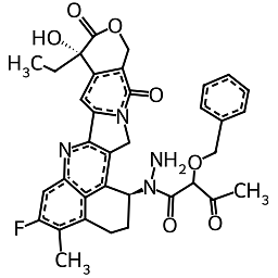 CC[C@@]1(O)C(=O)OCc2c1cc1n(c2=O)Cc2c-1nc1cc(F)c(C)c3c1c2[C@@H](N(N)C(=O)C(OCc1ccccc1)C(C)=O)CC3